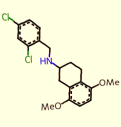 COc1ccc(OC)c2c1CCC(NCc1ccc(Cl)cc1Cl)C2